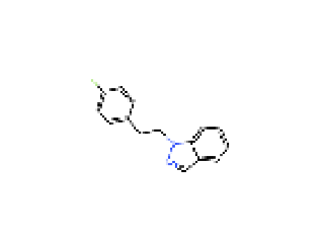 Fc1ccc(CCn2ncc3c[c]ccc32)cc1